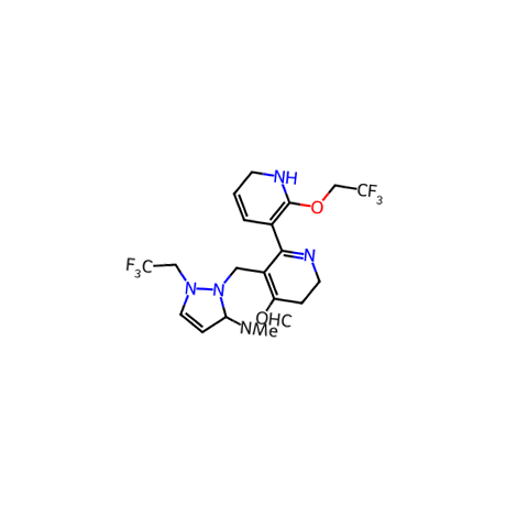 CNC1C=CN(CC(F)(F)F)N1CC1=C(C=O)CCN=C1C1=C(OCC(F)(F)F)NCC=C1